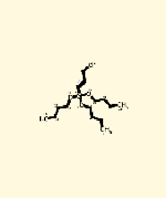 CCCCO[Si](/C=C/CCl)(OCCCC)OCCCC